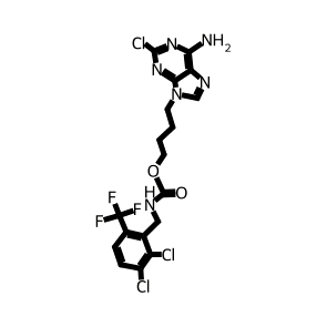 Nc1nc(Cl)nc2c1ncn2CCCCOC(=O)NCc1c(C(F)(F)F)ccc(Cl)c1Cl